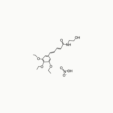 CCOc1cc(C=CC=CC(=O)NCCO)cc(OCC)c1OCC.O=[N+]([O-])O